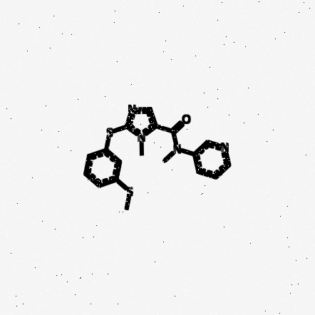 CSc1cccc(Sc2ncc(C(=O)N(C)c3cccnc3)n2C)c1